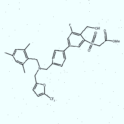 COC(=O)CS(=O)(=O)c1cc(-c2ccc(CN(Cc3ccc(C(F)(F)F)o3)Cc3c(C)cc(C)cc3C)cc2)cc(F)c1CO